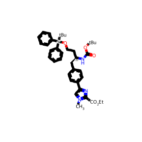 CCOC(=O)c1nc(-c2ccc(C[C@@H](CCO[Si](c3ccccc3)(c3ccccc3)C(C)(C)C)NC(=O)OC(C)(C)C)cc2)cn1C